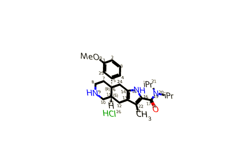 COc1cccc([C@@]23CCNC[C@H]2Cc2c([nH]c(C(=O)N(C(C)C)C(C)C)c2C)C3)c1.Cl